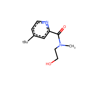 CN(CCO)C(=O)c1cc(C(C)(C)C)ccn1